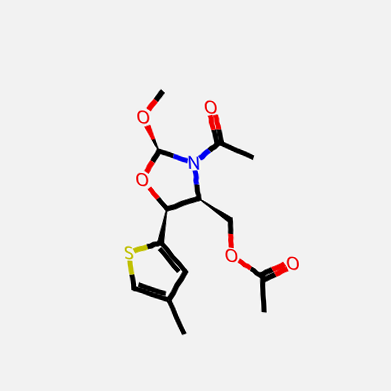 CO[C@@H]1O[C@H](c2cc(C)cs2)[C@H](COC(C)=O)N1C(C)=O